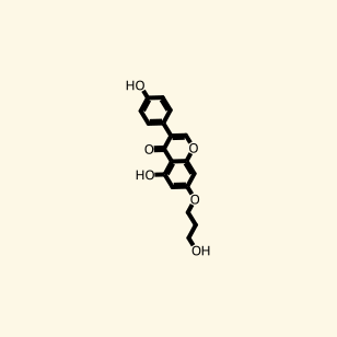 O=c1c(-c2ccc(O)cc2)coc2cc(OCCCO)cc(O)c12